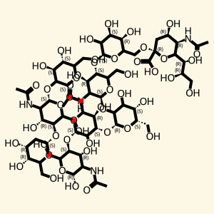 CC(=O)NC1[C@H](OC2[C@@H](OCC3O[C@@H](O[C@@H]4C(CO)O[C@@H](O)C(NC(C)=O)[C@H]4O)C(O)[C@@H](O[C@H]4O[C@@H](CO)[C@@H](O)C(O)C4O[C@@H]4OC(CO)[C@@H](O[C@@H]5OC(CO[C@]6(C(=O)O)C[C@@H](O)[C@@H](NC(C)=O)C([C@H](O)[C@H](O)CO)O6)[C@H](O)[C@H](O)C5O)[C@H](O)C4NC(C)=O)[C@@H]3O)OC(CO)[C@@H](O)[C@@H]2O)OC(CO)[C@@H](O[C@H]2C[C@@H](O)[C@@H](O)C(CO)O2)[C@@H]1O